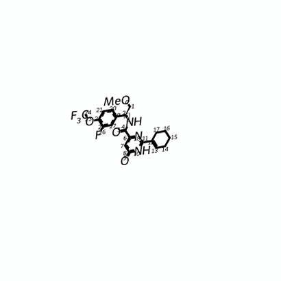 COC[C@@H](NC(=O)c1cc(=O)[nH]c(C2=CCCCC2)n1)c1ccc(OC(F)(F)F)c(F)c1